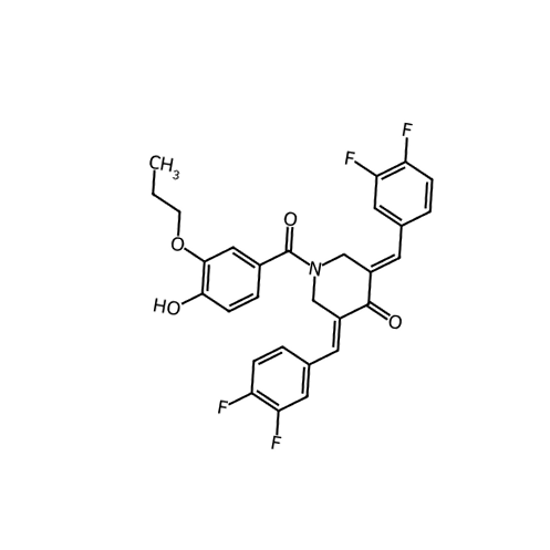 CCCOc1cc(C(=O)N2C/C(=C\c3ccc(F)c(F)c3)C(=O)/C(=C/c3ccc(F)c(F)c3)C2)ccc1O